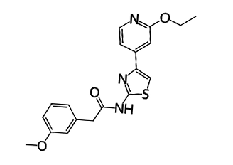 CCOc1cc(-c2csc(NC(=O)Cc3cccc(OC)c3)n2)ccn1